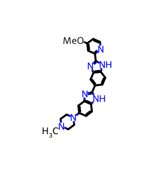 COc1ccnc(-c2nc3cc(-c4nc5cc(N6CCN(C)CC6)ccc5[nH]4)ccc3[nH]2)c1